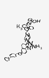 CC1(C(=O)OCCN2CCN(c3nc(N)nc4c3CCc3cc(OCc5ccc(Cl)cc5)ccc3-4)CC2)CN(C(=O)O)C1